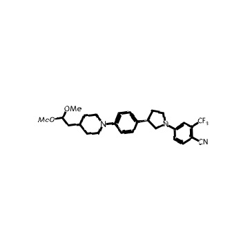 COC(CC1CCN(c2ccc([C@H]3CCN(c4ccc(C#N)c(C(F)(F)F)c4)C3)cc2)CC1)OC